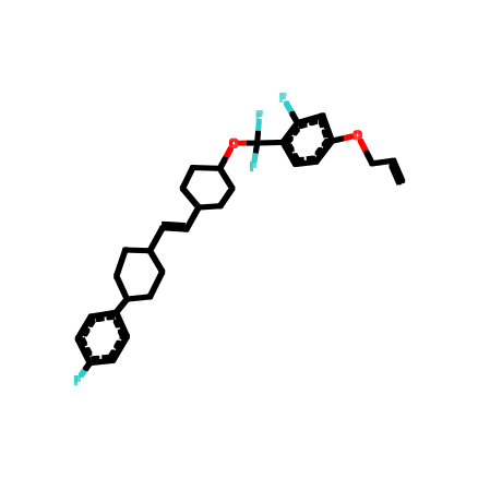 C=CCOc1ccc(C(F)(F)OC2CCC(/C=C/C3CCC(c4ccc(F)cc4)CC3)CC2)c(F)c1